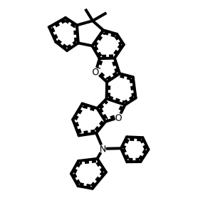 CC1(C)c2ccccc2-c2c1ccc1c2oc2c1ccc1oc3c(N(c4ccccc4)c4ccccc4)cccc3c12